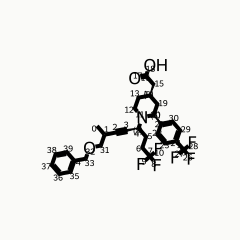 CC(C#C[C@H](CCC(F)(F)F)N1CC[C@@H](CC(=O)O)C[C@H]1c1ccc(C(F)(F)F)cc1)COCc1ccccc1